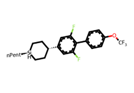 CCCCC[Si@H]1CC[C@H](c2cc(F)c(-c3ccc(OC(F)(F)F)cc3)c(F)c2)CC1